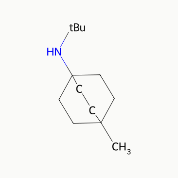 CC12CCC(NC(C)(C)C)(CC1)CC2